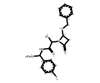 CCCCCC(NC(=O)C(CC)N1C(=O)CC1SCc1ccccc1)c1ccc(F)cc1